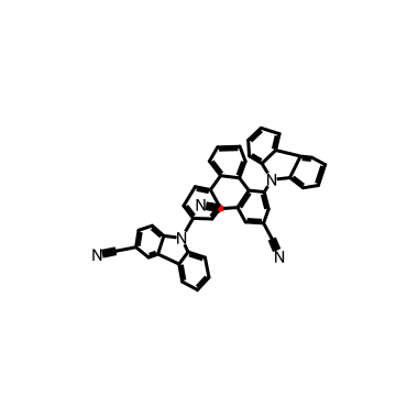 N#Cc1cc(C#N)c(-c2ccccc2-c2ccc(-n3c4ccccc4c4cc(C#N)ccc43)cc2)c(-n2c3ccccc3c3ccccc32)c1